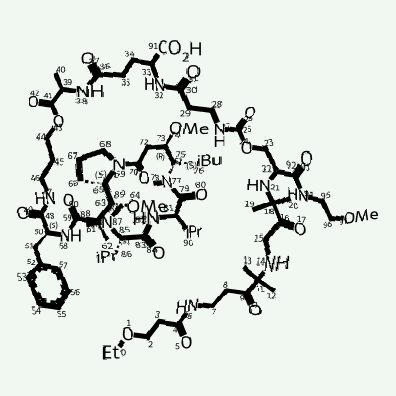 CCOCCC(=O)NCCC(=O)C(C)(C)NCC(=O)C(C)(C)NC(COC(=O)NCCC(=O)NC(CCC(=O)NC(C)C(=O)OCCCNC(=O)[C@H](Cc1ccccc1)NC(=O)[C@H](C)[C@@H](OC)[C@@H]1CCCN1C(=O)C[C@@H](OC)[C@H]([C@@H](C)CC)N(C)C(=O)C(NC(=O)[C@H](C(C)C)N(C)C)C(C)C)C(=O)O)C(=O)NCCOC